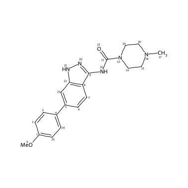 COc1ccc(-c2ccc3c(NC(=O)N4CCN(C)CC4)n[nH]c3c2)cc1